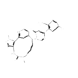 C[C@@H]1CCC[C@H](n2cnc(-c3cc(Cl)ccc3N)cc2=O)c2ccnc(c2)-c2c(cnn2C)NC1=O